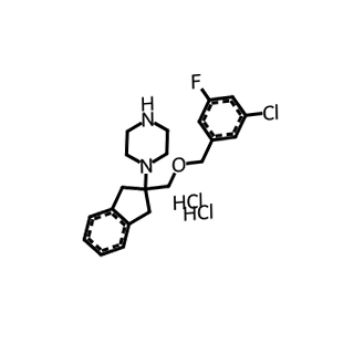 Cl.Cl.Fc1cc(Cl)cc(COCC2(N3CCNCC3)Cc3ccccc3C2)c1